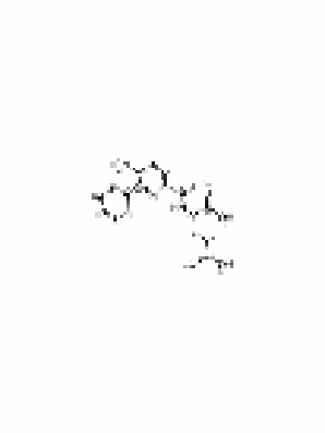 Nc1ccc(C(=O)NC(CCC(=O)O)C(=O)O)nc1-c1ccccc1